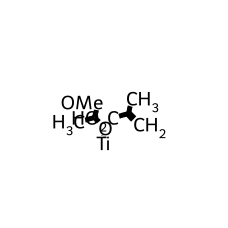 C=C(C)C(=O)O.COC(C)[O][Ti]